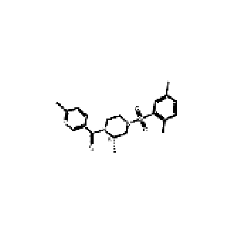 Cc1ccc(C)c(S(=O)(=O)N2CCN(C(=O)c3ccc(C)nc3)[C@@H](C)C2)c1